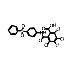 O=C(O)c1c(Cl)c(Cl)c(Cl)c(Cl)c1C(=O)Nc1ccc(S(=O)(=O)c2ccccc2)cc1